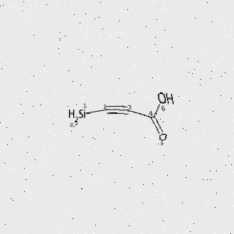 C[SiH2]C#CC(=O)O